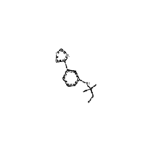 CCC(C)(C)Nc1cccc(-c2cscn2)c1